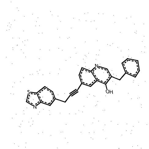 Oc1c(Cc2ccccc2)cnc2ccc(C#CCc3ccc4scnc4c3)cc12